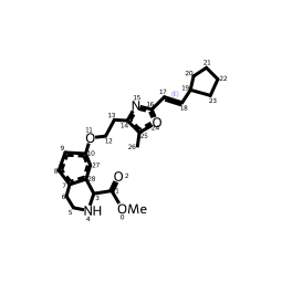 COC(=O)C1NCCc2ccc(OCCc3nc(/C=C/C4CCCC4)oc3C)cc21